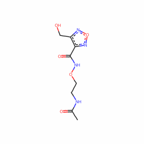 CC(=O)NCCONC(=O)c1nonc1CO